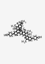 COc1c([C@@H](C)Nc2nnc(C)c3ncc(N4CCC(O)CC4)cc23)ccc(Cc2nnc(N[C@H](C)c3cccc(C(C)(F)F)c3F)c3cc(N4CCC(O)CC4)cnc23)c1C#N